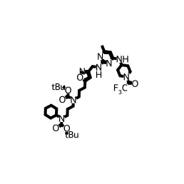 Cc1cc(NC2CCN(C(=O)C(F)(F)F)CC2)nc(NCc2cc(CCCN(CCCN(C(=O)OC(C)(C)C)C3CCCCC3)C(=O)OC(C)(C)C)on2)n1